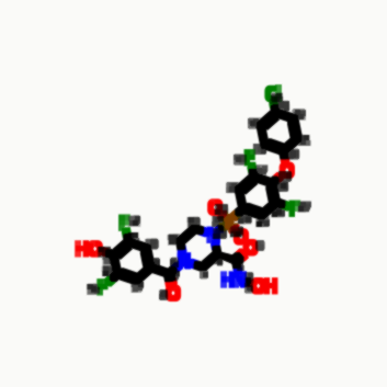 O=C(NO)[C@H]1CN(C(=O)c2cc(F)c(O)c(F)c2)CCN1S(=O)(=O)c1cc(F)c(Oc2ccc(Cl)cc2)c(F)c1